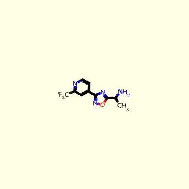 CC(N)c1nc(-c2ccnc(C(F)(F)F)c2)no1